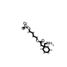 NCC1(CC(=O)OCCCCO[N+](=O)[O-])CCCCC1